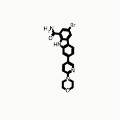 NC(=O)c1cc(Br)cc2c1[nH]c1cc(-c3ccc(N4CCOCC4)nc3)ccc12